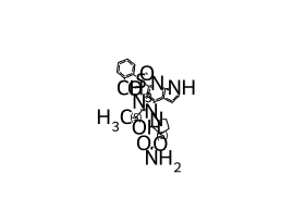 Cc1ccccc1S(=O)(=O)c1nc2[nH]ccc2c2c1nc([C@H](C)O)n2N1CC[C@H](OC(N)=O)C1